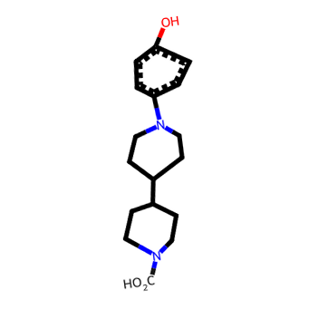 O=C(O)N1CCC(C2CCN(c3ccc(O)cc3)CC2)CC1